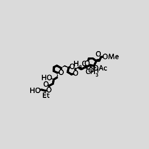 CC[C@H](CO)OC(=O)C[C@H](O)C[C@@H]1CCC[C@H](C[C@@H]2CCO[C@H](/C=C/C(C)(C)[C@]3(O)OCC/C(=C\C(=O)OC)[C@@H]3OC(C)=O)O2)O1